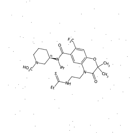 CCC(=S)NCCN1C(=O)C(C)(C)Oc2cc(C(F)(F)F)c(C(=O)N(C(C)C)[C@@H]3CCCN(C(=O)O)C3)cc21